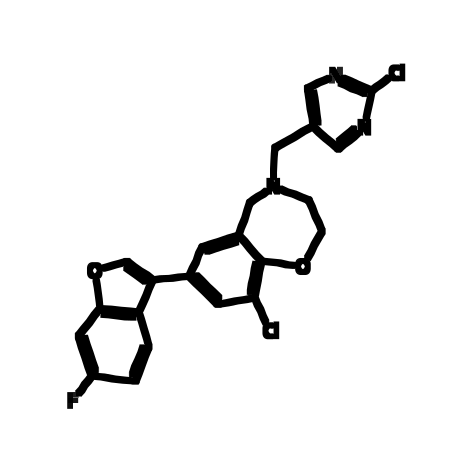 Fc1ccc2c(-c3cc(Cl)c4c(c3)CN(Cc3cnc(Cl)nc3)CCO4)coc2c1